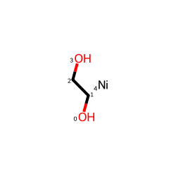 OCCO.[Ni]